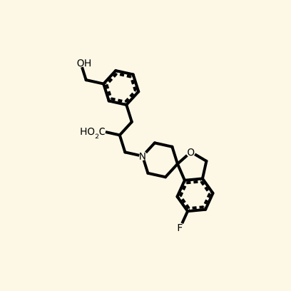 O=C(O)C(Cc1cccc(CO)c1)CN1CCC2(CC1)OCc1ccc(F)cc12